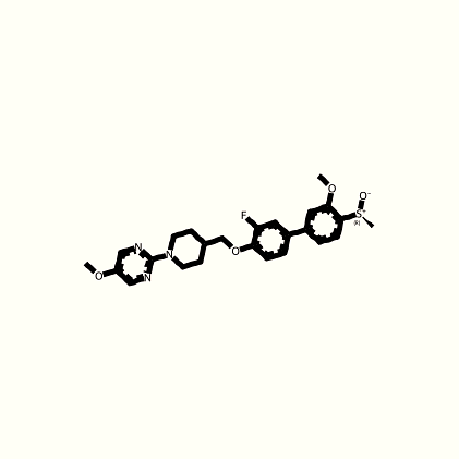 COc1cnc(N2CCC(COc3ccc(-c4ccc([S@+](C)[O-])c(OC)c4)cc3F)CC2)nc1